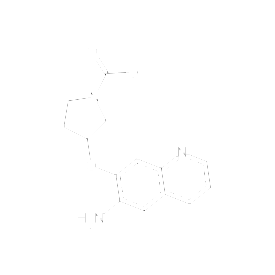 Nc1cc2cccnc2cc1OC1CCN(C(=O)O)C1